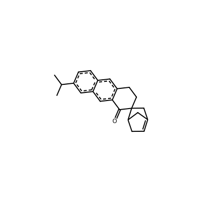 CC(C)c1ccc2cc3c(cc2c1)C(=O)C1(CC3)CC2=CCC1C2